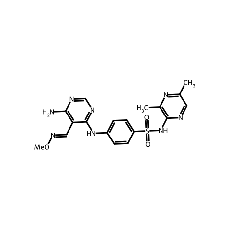 CO/N=C/c1c(N)ncnc1Nc1ccc(S(=O)(=O)Nc2ncc(C)nc2C)cc1